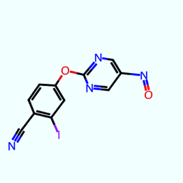 N#Cc1ccc(Oc2ncc(N=O)cn2)cc1I